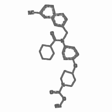 CC(C)(C)OC(=O)N1CCC(Oc2ccc(N(Cc3ccc4ccc(C#N)cc4c3)C(=O)C3CCCCC3)cc2)CC1